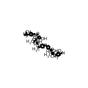 Cc1ncsc1-c1ccc(CNC(=O)[C@@H]2C[C@@H](O)CN2C(=O)C(NC(=O)CO[C@H](C)c2ccc(Oc3ccc(C(=O)N[C@H]4C(C)(C)[C@H](Oc5ccc(C#N)c(Cl)c5)C4(C)C)cc3)cc2)C(C)(C)C)cc1